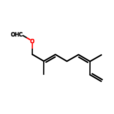 C=CC(C)=CCC=C(C)COC=O